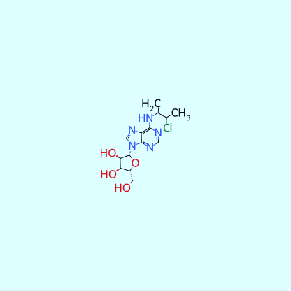 C=C(Nc1ncnc2c1ncn2[C@@H]1O[C@H](CO)[C@@H](O)[C@H]1O)C(C)Cl